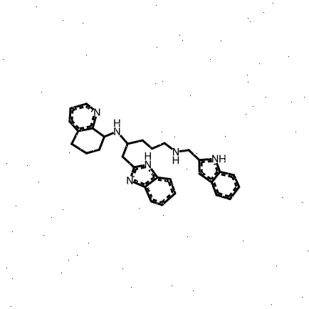 c1cnc2c(c1)CCCC2NC(CCCNCc1cc2ccccc2[nH]1)Cc1nc2ccccc2[nH]1